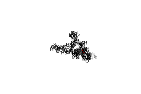 Cc1cn([C@H]2C[C@H](OP(=O)(S)OC[C@H]3O[C@@H](n4cc(C)c(=O)[nH]c4=O)C[C@@H]3O)[C@@H](COP(=O)(S)OC3C[C@H](n4cnc5c(N)ncnc54)O[C@@H]3COP(=O)(S)O[C@H]3C[C@H](n4ccc(N)nc4=O)O[C@@H]3COP(=O)(S)OC3C[C@H](n4cnc5c(=O)[nH]c(N)nc54)O[C@@H]3CO)O2)c(=O)[nH]c1=O